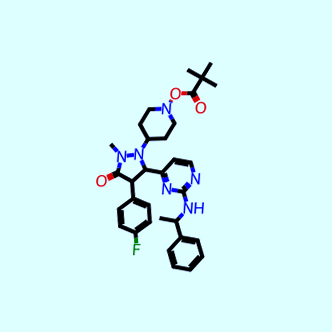 CC(Nc1nccc(C2C(c3ccc(F)cc3)C(=O)N(C)N2C2CCN(OC(=O)C(C)(C)C)CC2)n1)c1ccccc1